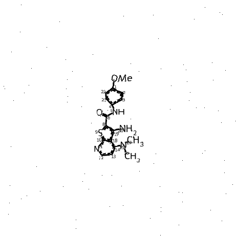 COc1ccc(NC(=O)c2sc3nccc(N(C)C)c3c2N)cc1